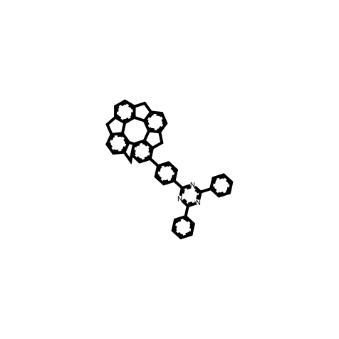 c1ccc(-c2nc(-c3ccccc3)nc(-c3ccc(-c4cc5c6c7c4Cc4ccc8c(c4-7)-c4c(ccc7c4-c4c(ccc(c4-6)C5)C7)C8)cc3)n2)cc1